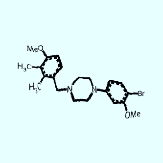 COc1cc(N2CCN(Cc3ccc(OC)c(C)c3C)CC2)ccc1Br